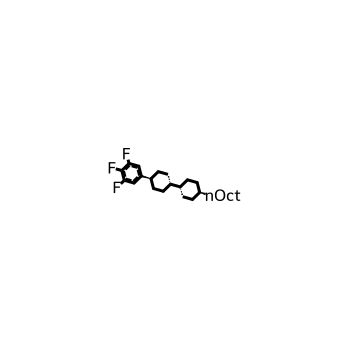 CCCCCCCC[C@H]1CC[C@H]([C@H]2CC[C@H](c3cc(F)c(F)c(F)c3)CC2)CC1